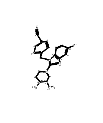 N#Cc1ccc(Cn2c(N3CC[C@H](O)[C@H](N)C3)nc3cc(F)ccc32)nc1